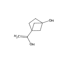 C=C(O)C12CCC(O)(C1)C2